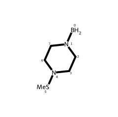 BN1CCN(SC)CC1